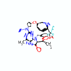 CCN1c2nc(N[C@H]3CC=C(Oc4ccc(C(F)(F)F)nc4)C3)nc(C)c2NC(=O)[C@@H]1[C@H](C)O